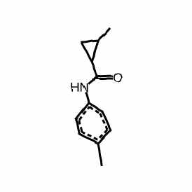 Cc1ccc(NC(=O)C2CC2C)cc1